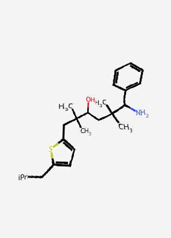 CC(C)Cc1ccc(CC(C)(C)C(O)CC(C)(C)C(N)c2ccccc2)s1